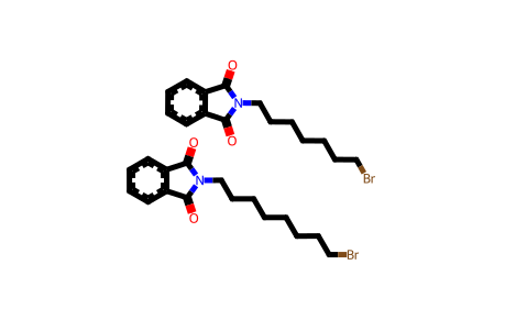 O=C1c2ccccc2C(=O)N1CCCCCCCBr.O=C1c2ccccc2C(=O)N1CCCCCCCCBr